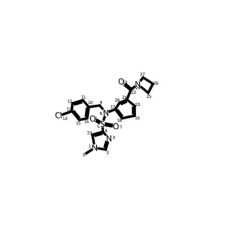 Cn1cnc(S(=O)(=O)N(Cc2ccc(Cl)cc2)c2cccc(C(=O)N3CCC3)c2)c1